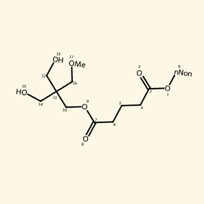 CCCCCCCCCOC(=O)CCCC(=O)OCC(CO)(CO)COC